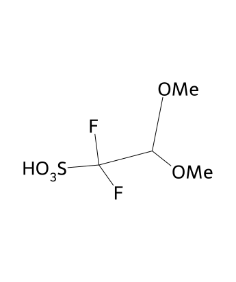 COC(OC)C(F)(F)S(=O)(=O)O